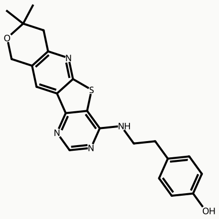 CC1(C)Cc2nc3sc4c(NCCc5ccc(O)cc5)ncnc4c3cc2CO1